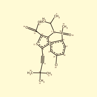 CC(C)N(c1cc(C#CC(C)(C)C)sc1C(=O)O)P(C)(=O)c1ccc(Cl)cc1